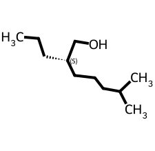 CCC[C@H](CO)CCCC(C)C